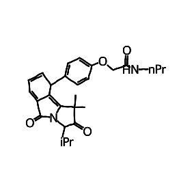 CCCNC(=O)COc1ccc(C2C=CC=C3C(=O)N4C(=C32)C(C)(C)C(=O)C4C(C)C)cc1